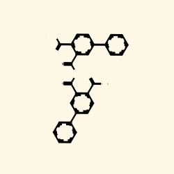 O=C(O)c1ccc(-c2ccccc2)cc1C(=O)OC(=O)c1cc(-c2ccccc2)ccc1C(=O)O